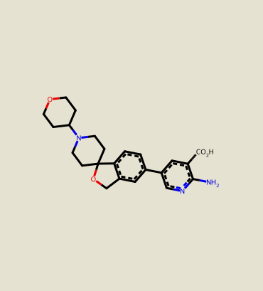 Nc1ncc(-c2ccc3c(c2)COC32CCN(C3CCOCC3)CC2)cc1C(=O)O